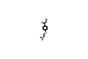 CN(C)CCOc1ccc(C(=O)CBr)cc1